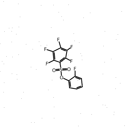 O=S(=O)(Oc1ccccc1F)c1c(F)c(F)c(F)c(F)c1F